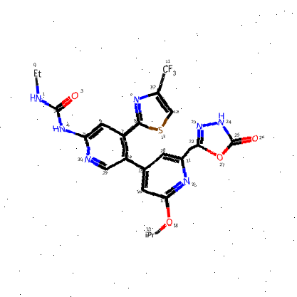 CCNC(=O)Nc1cc(-c2nc(C(F)(F)F)cs2)c(-c2cc(OC(C)C)nc(-c3n[nH]c(=O)o3)c2)cn1